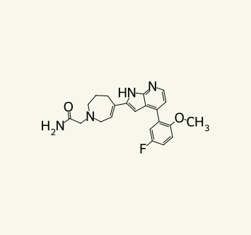 COc1ccc(F)cc1-c1ccnc2[nH]c(C3=CCN(CC(N)=O)CCC3)cc12